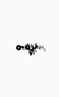 Cc1nc(-c2cncc(OCc3ccccc3)c2)c2c(N)c(C(N)=S)sc2n1